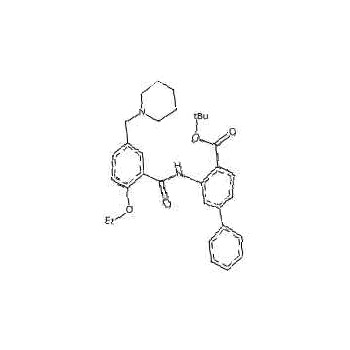 CCOc1ccc(CN2CCCCC2)cc1C(=O)Nc1cc(-c2ccccc2)ccc1C(=O)OC(C)(C)C